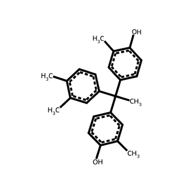 Cc1ccc(C(C)(c2ccc(O)c(C)c2)c2ccc(O)c(C)c2)cc1C